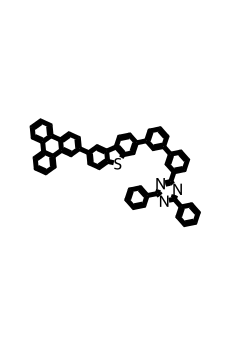 c1ccc(-c2nc(-c3ccccc3)nc(-c3cccc(-c4cccc(-c5ccc6c(c5)sc5ccc(-c7ccc8c9ccccc9c9ccccc9c8c7)cc56)c4)c3)n2)cc1